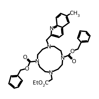 CCOC(=O)CN1CCN(C(=O)OCc2ccccc2)CCN(Cc2ccc3cc(C)ccc3n2)CCN(C(=O)OCc2ccccc2)CC1